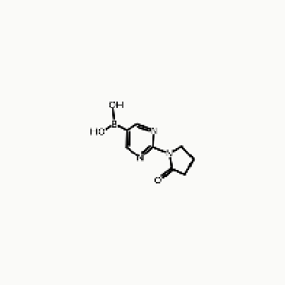 O=C1CCCN1c1ncc(B(O)O)cn1